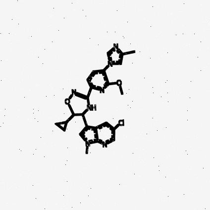 COc1nc(C2=NOC(C3CC3)C(c3cn(C)c4ncc(Cl)cc34)N2)ccc1-n1cnc(C)c1